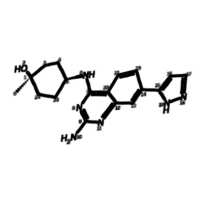 C[C@]1(O)CC[C@@H](Nc2nc(N)nc3cc(-c4ccn[nH]4)ccc23)CC1